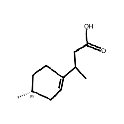 CC(CC(=O)O)C1=CC[C@H](C)CC1